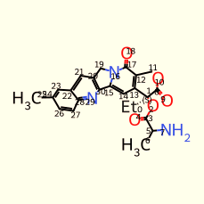 CC[C@@]1(OC(=O)C(C)N)C(=O)OCc2c1cc1n(c2=O)Cc2cc3cc(C)ccc3nc2-1